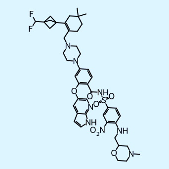 CN1CCOC(CNc2ccc(S(=O)(=O)NC(=O)c3ccc(N4CCN(CC5=C(C67CC(C(F)F)(C6)C7)CC(C)(C)CC5)CC4)cc3Oc3cnc4[nH]ccc4c3)cc2[N+](=O)[O-])C1